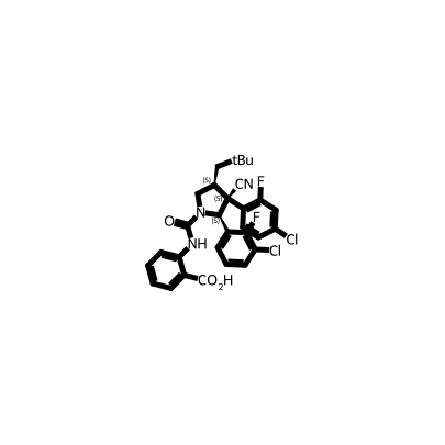 CC(C)(C)C[C@@H]1CN(C(=O)Nc2ccccc2C(=O)O)[C@H](c2cccc(Cl)c2F)[C@@]1(C#N)c1ccc(Cl)cc1F